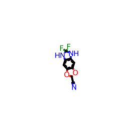 N#CC1Oc2cc3c(cc2O1)NC(F)(F)N3